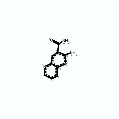 NC(=O)c1cc2ncccc2nc1N